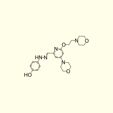 Oc1ccc(NN=Cc2cc(N3CCOCC3)cc(OCCN3CCOCC3)n2)cc1